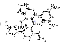 C=Cc1ncc(-c2cnn(C)c2)nc1/N=C/N(Cc1nccn1CCO)c1cc(OC)cc(OC)c1F